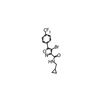 O=C(NCC1CC1)c1noc(-c2ccc(C(F)(F)F)cc2)c1Br